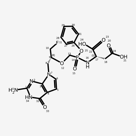 Nc1nc2c(ccn2C[C@H](CF)OCP(=O)(N[C@@H](CC(=O)O)C(=O)O)Oc2ccccc2)c(=O)[nH]1